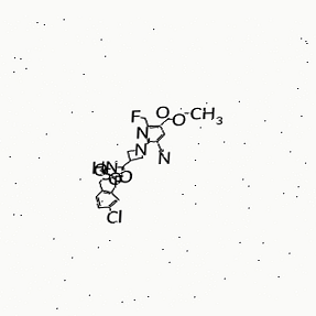 CCOC(=O)c1cc(C#N)c(N2CC(C(=O)NS(=O)(=O)Cc3ccc(Cl)cc3F)C2)nc1CF